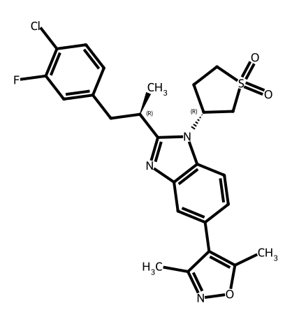 Cc1noc(C)c1-c1ccc2c(c1)nc([C@H](C)Cc1ccc(Cl)c(F)c1)n2[C@@H]1CCS(=O)(=O)C1